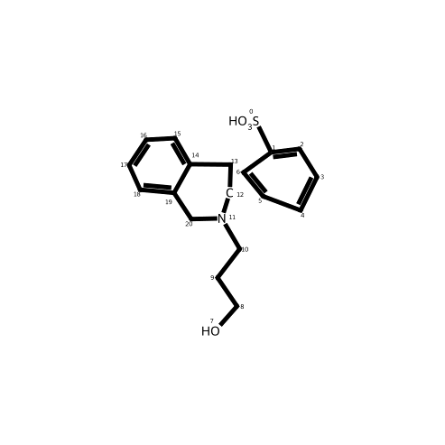 O=S(=O)(O)c1ccccc1.OCCCN1CCc2ccccc2C1